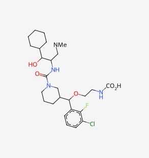 CNCC(NC(=O)N1CCCC(C(OCCNC(=O)O)c2cccc(Cl)c2F)C1)C(O)C1CCCCC1